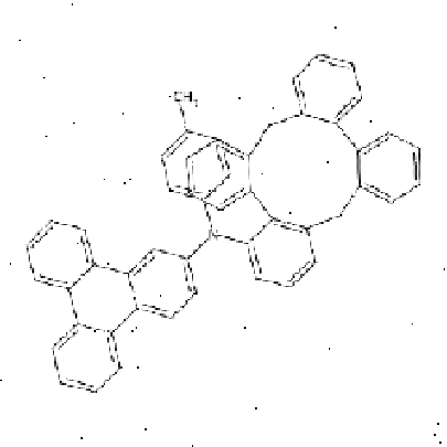 Cc1ccc(N(c2ccc3c4ccccc4c4ccccc4c3c2)c2cccc3c2-c2ccccc2Cc2ccccc2-c2ccccc2C3)cc1